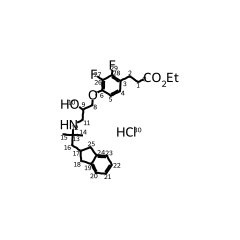 CCOC(=O)CCc1ccc(OCC(O)CNC(C)(C)CC2Cc3ccccc3C2)c(F)c1F.Cl